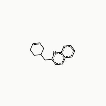 C1=CCC(Cc2ccc3ccccc3n2)CC1